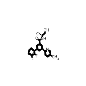 Cc1ccc(-c2cc(C(=O)N[C@@H](Cl)CO)cc(-c3cccc(F)c3F)c2)nc1